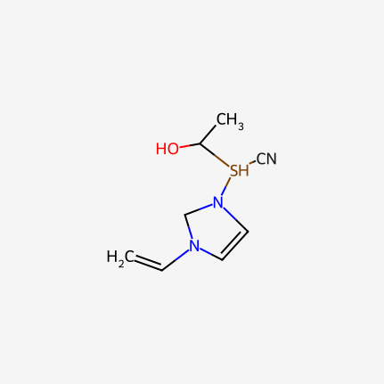 C=CN1C=CN([SH](C#N)C(C)O)C1